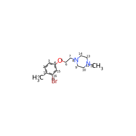 Cc1ccc(OCCN2CCN(C)CC2)cc1Br